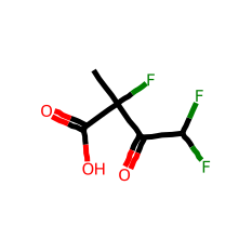 CC(F)(C(=O)O)C(=O)C(F)F